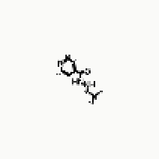 CC(C)CNNC(=O)c1ccncc1